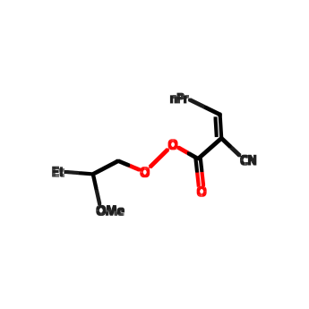 CCCC=C(C#N)C(=O)OOCC(CC)OC